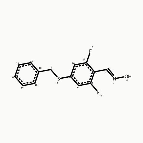 ON=Cc1c(F)cc(SCc2ccccc2)cc1F